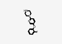 Fc1ccccc1Oc1ccc(N2CCNCC2)nc1